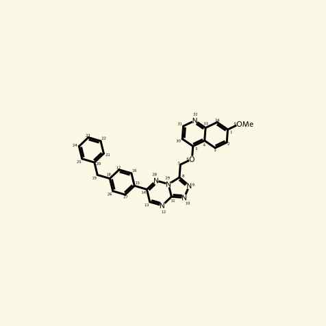 COc1ccc2c(OCc3nnc4ncc(-c5ccc(Cc6ccccc6)cc5)nn34)ccnc2c1